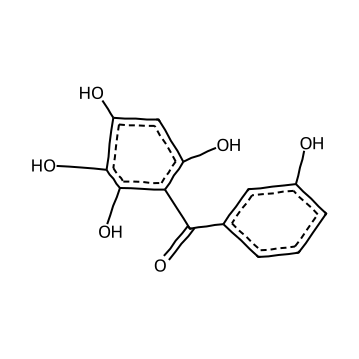 O=C(c1cccc(O)c1)c1c(O)cc(O)c(O)c1O